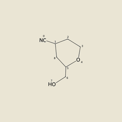 N#CC1CCOC(CO)C1